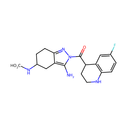 Nc1c2c(nn1C(=O)C1CCNc3ccc(F)cc31)CCC(NC(=O)O)C2